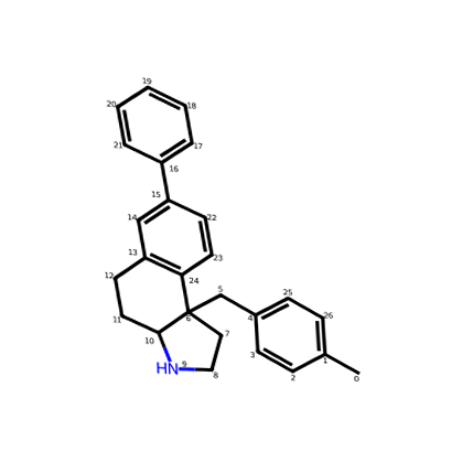 Cc1ccc(CC23CCNC2CCc2cc(-c4ccccc4)ccc23)cc1